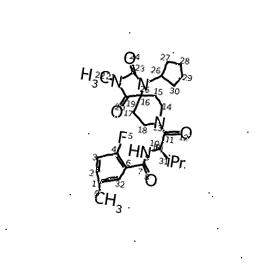 Cc1ccc(F)c(C(=O)N[C@@H](C(=O)N2CCC3(CC2)C(=O)N(C)C(=O)N3C2CCCC2)C(C)C)c1